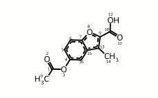 CC(=O)Oc1ccc2oc(C(=O)O)c(C)c2c1